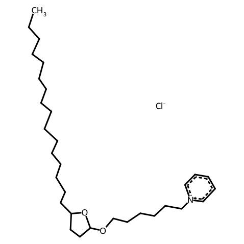 CCCCCCCCCCCCCCCCC1CCC(OCCCCCC[n+]2ccccc2)O1.[Cl-]